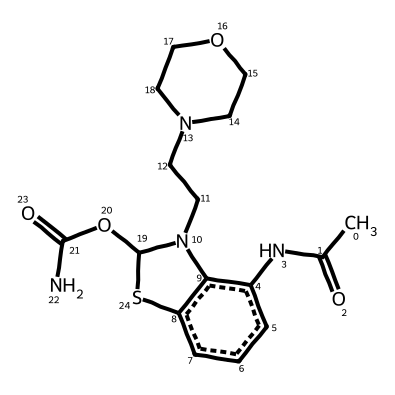 CC(=O)Nc1cccc2c1N(CCN1CCOCC1)C(OC(N)=O)S2